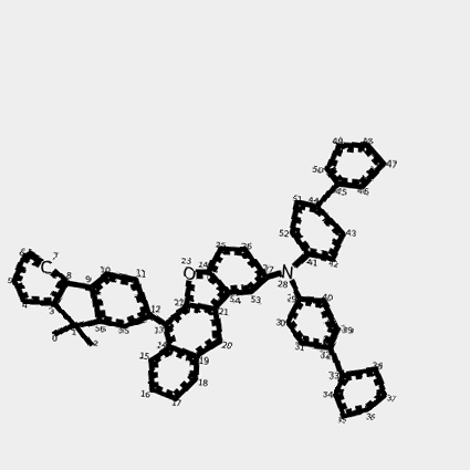 CC1(C)c2ccccc2-c2ccc(-c3c4ccccc4cc4c3oc3ccc(N(c5ccc(-c6ccccc6)cc5)c5ccc(-c6ccccc6)cc5)cc34)cc21